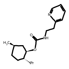 CC(C)[C@@H]1CC[C@@H](C)C[C@H]1OC(=O)NCCc1ccccn1